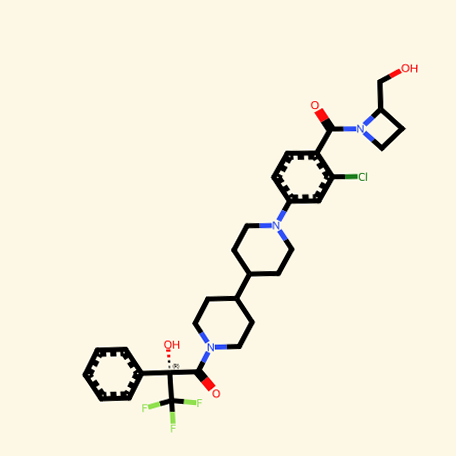 O=C(c1ccc(N2CCC(C3CCN(C(=O)[C@](O)(c4ccccc4)C(F)(F)F)CC3)CC2)cc1Cl)N1CCC1CO